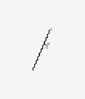 CCCCC/C=C/C/C=C/C/C=C/C/C(=C/C/C=C/CC[C]=O)[N+](=O)[O-]